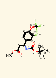 COC(=O)CC(NC(=O)OC(C)(C)C)c1ccc(OC(F)(F)F)c(F)c1